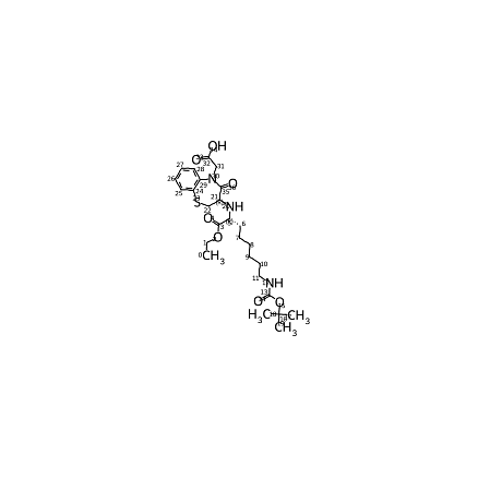 CCOC(=O)[C@@H](CCCCCCNC(=O)OC(C)(C)C)N[C@H]1CSc2ccccc2N(CC(=O)O)C1=O